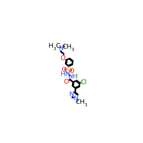 CN(C)CCOc1cccc(S(=O)(=O)NNC(=O)c2cc(-c3cn(C)cn3)cc(Cl)c2F)c1